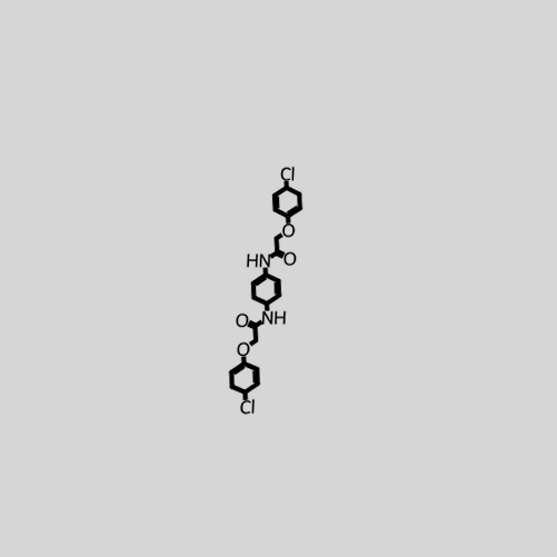 O=C(COC1=CCC(Cl)C=C1)NC1=CCC(NC(=O)COC2=CCC(Cl)C=C2)C=C1